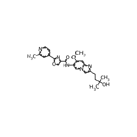 COc1cc2nc(CCC(C)(C)O)cn2cc1NC(=O)c1coc(-c2ccnc(C)c2)n1